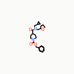 O=C(OCc1ccccc1)N1CCC(C(=O)N(CC2CC2)CC2CCCO2)CC1